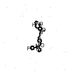 COc1cc2c(cc1OCCCN1CCN(C(=O)c3nc(-c4ccc(F)cc4)n4ccccc34)CC1)C=C[C@@H]1CCCN1C2=O